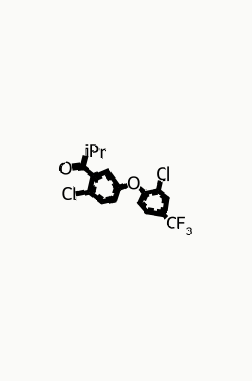 CC(C)C(=O)c1cc(Oc2ccc(C(F)(F)F)cc2Cl)ccc1Cl